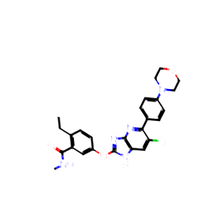 CCc1ccc(Oc2nc3nc(-c4ccc(N5CCOCC5)cc4)c(Cl)cc3[nH]2)cc1C(=O)NC